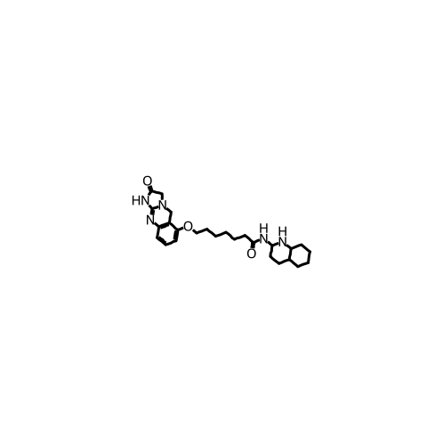 O=C1CN2Cc3c(cccc3OCCCCCCC(=O)NC3CCC4CCCCC4N3)N=C2N1